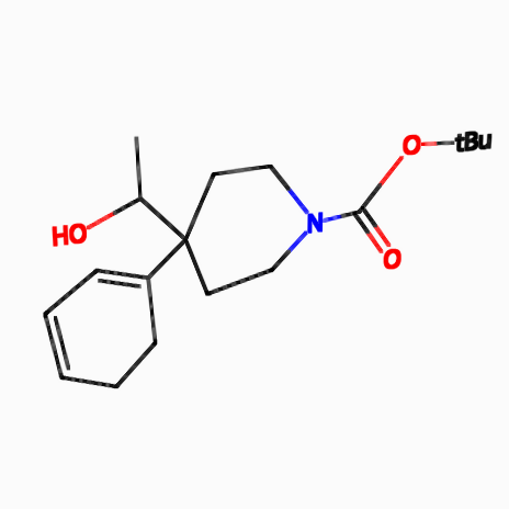 CC(O)C1(C2=CC=CCC2)CCN(C(=O)OC(C)(C)C)CC1